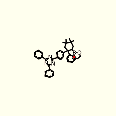 CC1(C)CC(B2OCCO2)C(c2ccccc2)(c2ccc(-c3nc(-c4ccccc4)nc(-c4ccccc4)n3)cc2)CC1(C)C